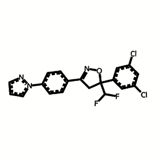 FC(F)C1(c2cc(Cl)cc(Cl)c2)CC(c2ccc(-n3cccn3)cc2)=NO1